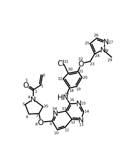 C=CC(=O)N1CCC(Oc2ccc3ncnc(Nc4ccc(OCc5ccnn5C)c(Cl)c4)c3n2)C1